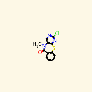 CN1C(=O)c2ccccc2Sc2nc(Cl)ncc21